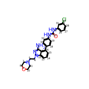 Nc1nn(CCN2CCOCC2)c2cccc(-c3ccc(NC(=O)Nc4cccc(Cl)c4)cc3)c12